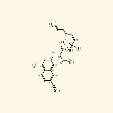 C#Cc1cnc2c(C)cc(OC(SC)C(=O)NC(C)(C)/C=N\OCC=C)cc2c1